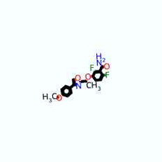 COc1ccc(-c2coc([C@H](C)OC3CC=C(F)C(C(N)=O)=C3F)n2)cc1